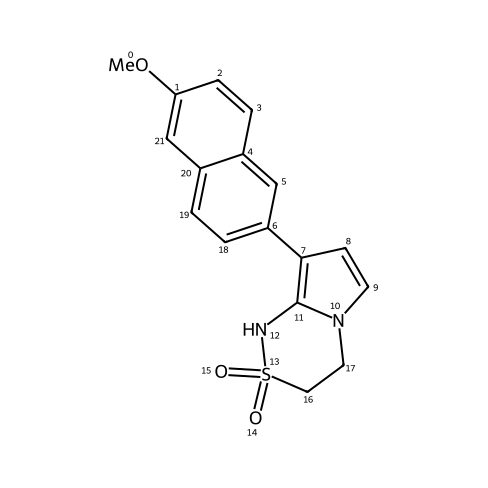 COc1ccc2cc(-c3ccn4c3NS(=O)(=O)CC4)ccc2c1